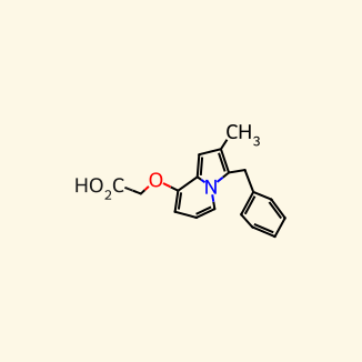 Cc1cc2c(OCC(=O)O)cccn2c1Cc1ccccc1